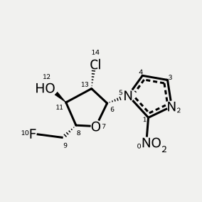 O=[N+]([O-])c1nccn1[C@@H]1O[C@H](CF)[C@@H](O)[C@@H]1Cl